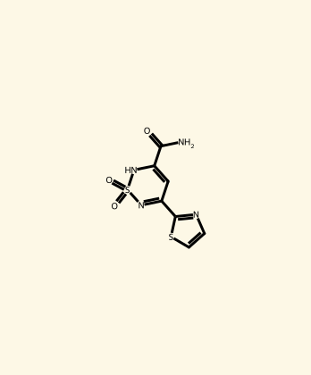 NC(=O)C1=CC(c2nccs2)=NS(=O)(=O)N1